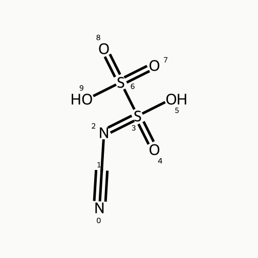 N#CN=S(=O)(O)S(=O)(=O)O